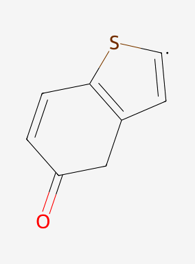 O=C1C=Cc2s[c]cc2C1